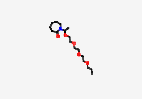 CCCOCCOCCOCCOC(C)N1CCCCCC1=O